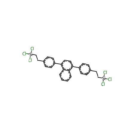 Cl[Si](Cl)(Cl)CCc1ccc(-c2ccc(-c3ccc(CC[Si](Cl)(Cl)Cl)cc3)c3ccccc23)cc1